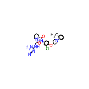 Cc1ccccc1N1CCC(Oc2ccc(NC(=O)[C@H]3CCCCN3C(=O)CN/C(N)=N/C#N)cc2Cl)CC1